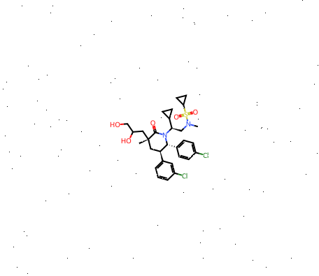 CN(C[C@H](C1CC1)N1C(=O)[C@@](C)(CC(O)CO)C[C@H](c2cccc(Cl)c2)[C@H]1c1ccc(Cl)cc1)S(=O)(=O)C1CC1